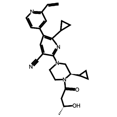 C=Cc1cc(-c2cc(C#N)c(N3CCN(C(=O)C[C@@H](C)O)[C@H](C4CC4)C3)nc2C2CC2)ccn1